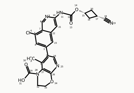 Cc1c(-c2cc(Cl)c3cnc(NC(=O)O[C@H]4C[C@@H](C#N)C4)cc3c2)cnc2c1N(C(=O)O)CCO2